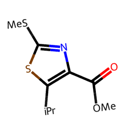 COC(=O)c1nc(SC)sc1C(C)C